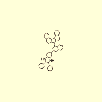 C1=CC2C=C(c3ccc4c(c3)NC(c3ccccc3)C(C3=CCCC=C3)N4)C=C(N3c4ccc5ccccc5c4C4=c5ccccc5=CCC43)C2C=C1